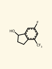 OC1CCc2c1cc(F)cc2C(F)(F)F